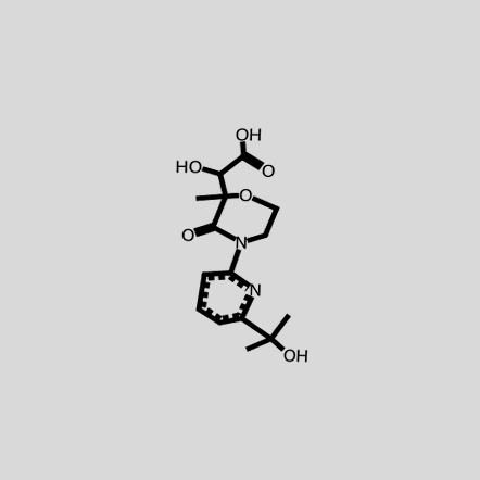 CC(C)(O)c1cccc(N2CCOC(C)(C(O)C(=O)O)C2=O)n1